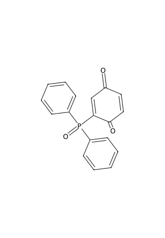 O=C1C=CC(=O)C(P(=O)(c2ccccc2)c2ccccc2)=C1